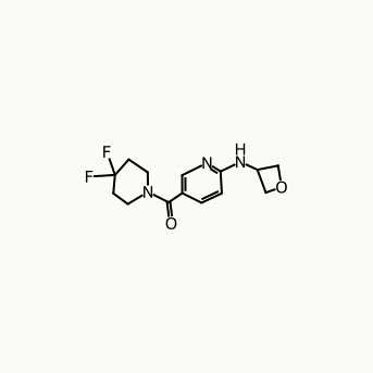 O=C(c1ccc(NC2COC2)nc1)N1CCC(F)(F)CC1